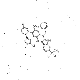 COc1cn(C(Cc2ccccc2)c2nc3ccc(P(C)(C)=O)cc3[nH]2)c(=O)cc1-c1cc(Cl)ccc1-n1cc(Cl)nn1